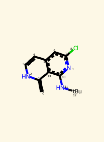 C=C1NC=Cc2cc(Cl)nc(NC(C)(C)C)c21